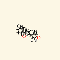 CC1C[C@]2(C#N)CC[C@]3(C)[C@H](C(=O)C=C4[C@@]5(C)C=C(C#N)C(=O)C(C)(C)[C@@H]5CC[C@]43C)[C@@H]2CC1(C)C